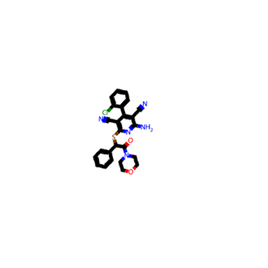 N#Cc1c(N)nc(SC(C(=O)N2CCOCC2)c2ccccc2)c(C#N)c1-c1ccccc1Cl